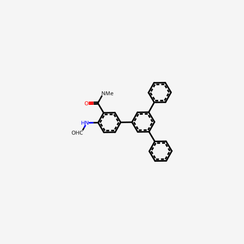 CNC(=O)c1cc(-c2cc(-c3ccccc3)cc(-c3ccccc3)c2)ccc1NC=O